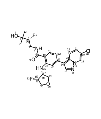 CC(C)(O)[C@H](F)CNC(=O)c1cnc(-c2cnn3cc(Cl)cnc23)cc1N[C@@H]1COC[C@H]1F